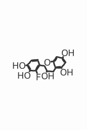 Oc1cc(O)c2c(c1)OC(c1ccc(O)c(O)c1F)C(O)C2